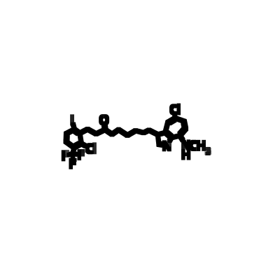 CNC1=C=CC(Cl)=CC2=C1N=CC2CCCCCCC(=O)CCc1c(I)ccc(C(F)(F)F)c1Cl